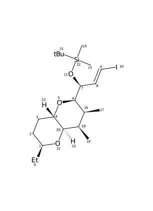 CC[C@H]1CC[C@@H]2O[C@@H]([C@H](/C=C/I)O[Si](C)(C)C(C)(C)C)[C@@H](C)[C@@H](C)[C@H]2O1